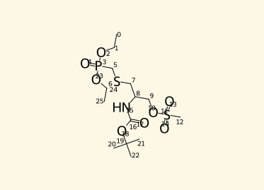 CCOP(=O)(CSCC(COS(C)(=O)=O)NC(=O)OC(C)(C)C)OCC